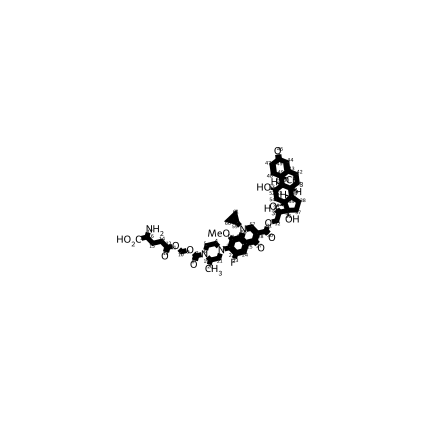 COc1c(N2CCN(C(=O)OCOC(=O)CCC(N)C(=O)O)C(C)C2)c(F)cc2c(=O)c(C(=O)OCC(=O)[C@]3(O)CC[C@@H]4[C@H]5CCC6=CC(=O)C=C[C@@]6(C)[C@@H]5[C@H](O)C[C@]43C)cn(C3CC3)c12